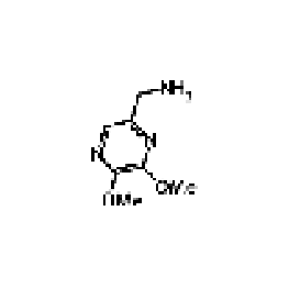 COc1ncc(CN)nc1OC